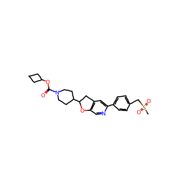 CS(=O)(=O)Cc1ccc(-c2cc3c(cn2)OC(C2CCN(C(=O)OC4CCC4)CC2)C3)cc1